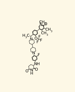 Cc1c(-c2ccc(C(C)N3CCC(C4CCN(c5ccc(NC6CCC(=O)NC6=O)cc5F)CC4)CC3)c(OC(F)(F)F)c2)cn(C)c(=O)c1C